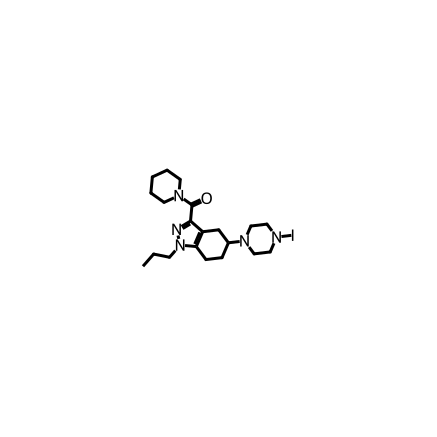 CCCn1nc(C(=O)N2CCCCC2)c2c1CCC(N1CCN(I)CC1)C2